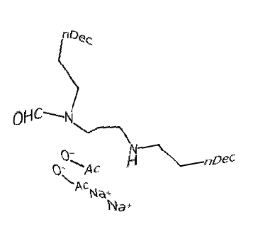 CC(=O)[O-].CC(=O)[O-].CCCCCCCCCCCCNCCN(C=O)CCCCCCCCCCCC.[Na+].[Na+]